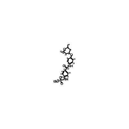 CC1CC(Oc2ccc(NC(=O)c3ccc(NS(=O)(=O)C(C)(C)C)cc3)cc2)CC(C)O1